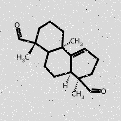 C[C@@]12CCC[C@@](C)(C=O)C1CC[C@H]1C2=CCC[C@@]1(C)C=O